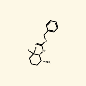 N[C@@H]1CCCC(F)(F)[C@H]1NC(=O)OCc1ccccc1